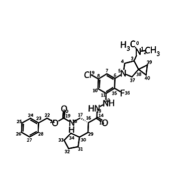 CN(C)C1CN(c2cc(Cl)cc(NNC(=O)[C@@H](CNC(=O)OCc3ccccc3)CC3CCCC3)c2F)CC12CC2